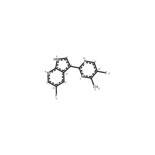 Cc1nc(-c2c[nH]c3ncc(F)cc23)ncc1F